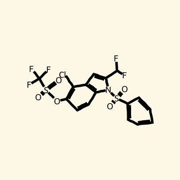 O=S(=O)(c1ccccc1)n1c(C(F)F)cc2c(Cl)c(OS(=O)(=O)C(F)(F)F)ccc21